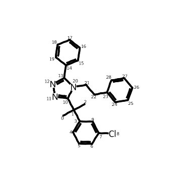 CC(C)(c1cccc(Cl)c1)c1nnc(-c2ccccc2)n1CCc1ccccc1